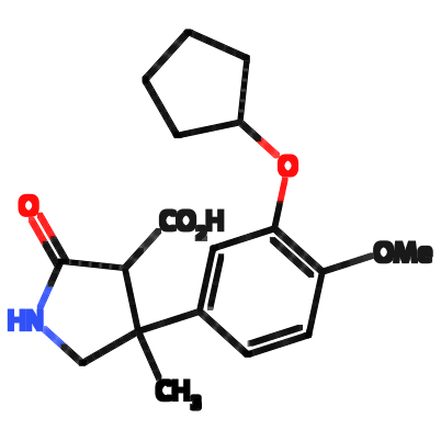 COc1ccc(C2(C)CNC(=O)C2C(=O)O)cc1OC1CCCC1